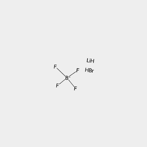 Br.F[B-](F)(F)F.[LiH]